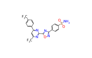 NS(=O)(=O)c1ccc(-c2noc(-c3nc(-c4ccc(C(F)(F)F)cc4)cc(C(F)(F)F)n3)n2)cc1